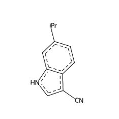 CC(C)c1ccc2c(C#N)c[nH]c2c1